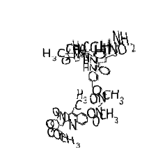 CCc1c2c(nc3ccc(OC(=O)N(C)CCN(C)C(=O)OCc4ccc(NC(=O)[C@H](CCCNC(N)=O)NC(=O)[C@@H](NC(=O)C5CCC(C(=O)C(C)C)N5C)C(C)C)cc4)cc13)-c1cc3c(c(=O)n1C2)COC(=O)[C@]3(O)CC